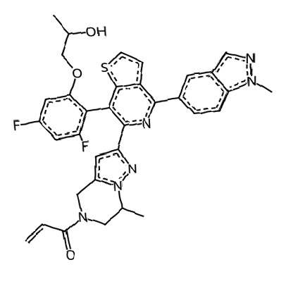 C=CC(=O)N1Cc2cc(-c3nc(-c4ccc5c(cnn5C)c4)c4ccsc4c3-c3c(F)cc(F)cc3OCC(C)O)nn2C(C)C1